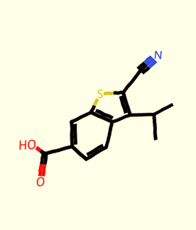 CC(C)c1c(C#N)sc2cc(C(=O)O)ccc12